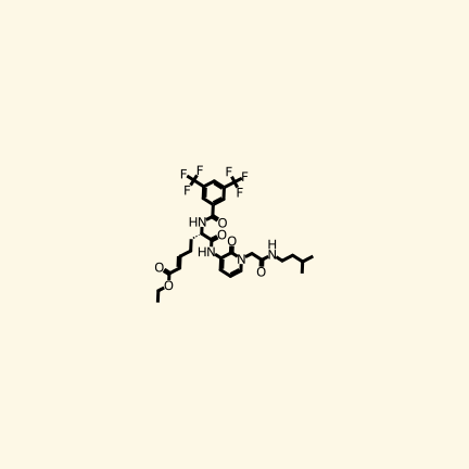 CCOC(=O)/C=C/CC[C@H](NC(=O)c1cc(C(F)(F)F)cc(C(F)(F)F)c1)C(=O)Nc1cccn(CC(=O)NCCC(C)C)c1=O